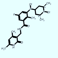 CCN(c1cc(F)cc(C(=O)NCc2c(C)cc(C)[nH]c2=O)c1C)C1C[C@@H](C)N(CC)[C@H](C)C1